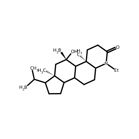 BC(C)C1CCC2C3CCC4N(CC)C(=O)CC[C@]4(C)C3[C@@](B)(O)C[C@]12C